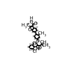 Cc1cc(OCc2c(-c3c(Cl)cccc3Cl)noc2C(C)C)ccc1-c1ccc2c(C(=O)O)c(C)oc2c1